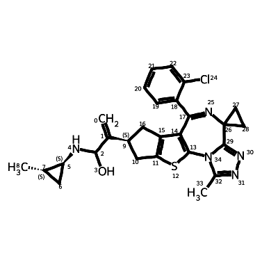 C=C(C(O)N[C@H]1C[C@@H]1C)[C@@H]1Cc2sc3c(c2C1)C(c1ccccc1Cl)=NC1(CC1)c1nnc(C)n1-3